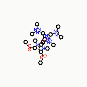 O=C(OCc1ccccc1)c1ccc2c(c1)N(c1ccccc1)c1cc(-c3ccc4c(c3)c3cc(-c5nc(-c6ccccc6)nc(-c6ccccc6)n5)ccc3n4-c3ccc(-c4nc(-c5ccccc5)cc(-c5ccccc5)n4)cc3-c3nc(-c4ccccc4)nc(-c4ccccc4)n3)cc3c1B2c1ccc(C(=O)OCc2ccccc2)cc1N3c1ccccc1